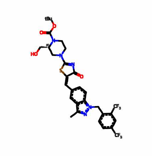 Cc1nn(Cc2ccc(C(F)(F)F)cc2C(F)(F)F)c2ccc(C=C3SC(N4CCN(C(=O)OC(C)(C)C)[C@@H](CO)C4)=NC3=O)cc12